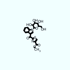 COC(=O)c1csc(C(=O)c2cn(C3OC(CO)[C@H](O)C(O)C3O)c3ccccc23)n1